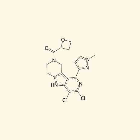 Cn1ccc(-c2nc(Cl)c(Cl)c3[nH]c4c(c23)CN(C(=O)C2CCO2)CC4)n1